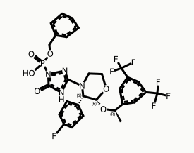 C[C@@H](O[C@H]1OCCN(c2nn(P(=O)(O)OCc3ccccc3)c(=O)[nH]2)[C@H]1c1ccc(F)cc1)c1cc(C(F)(F)F)cc(C(F)(F)F)c1